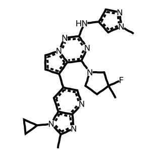 Cc1nc2ncc(-c3ccn4nc(Nc5cnn(C)c5)nc(N5CCC(C)(F)C5)c34)cc2n1C1CC1